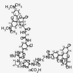 CN(C)c1ccc2c(c1)Oc1cc(N(C)C)ccc1C21OC(=O)c2cc(C(=O)NCC(=O)Nc3ccc(C(=O)N[C@H](C(=O)N4CCC[C@H]4C(=O)N[C@@H](CC(=O)O)C(=O)NCC(=O)NCCNC(=O)c4ccc(-c5c6ccc(=O)cc-6oc6cc(O)ccc56)c(C(=O)O)c4)C(C)(C)C)cc3Cl)ccc21